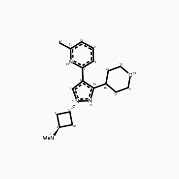 CN[C@H]1C[C@H](n2cc(-c3cccc(C)n3)c(C3CCOCC3)n2)C1